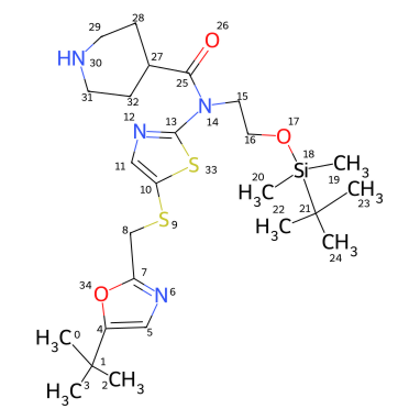 CC(C)(C)c1cnc(CSc2cnc(N(CCO[Si](C)(C)C(C)(C)C)C(=O)C3CCNCC3)s2)o1